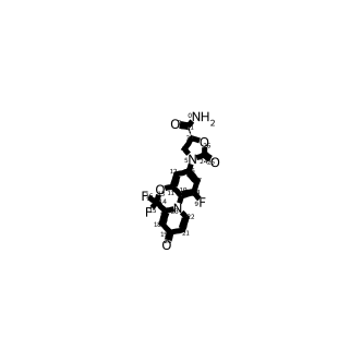 NC(=O)[C@H]1CN(c2cc(F)c3c(c2)OC(F)(F)c2cc(=O)ccn2-3)C(=O)O1